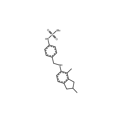 Cc1c(NCc2ccc(NS(=O)(=O)C(C)(C)C)cc2)ccc2c1CC(C)C2